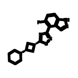 Fc1ccc2[nH]ncc2c1-c1noc([C@H]2C[C@@H](N3CCCCC3)C2)n1